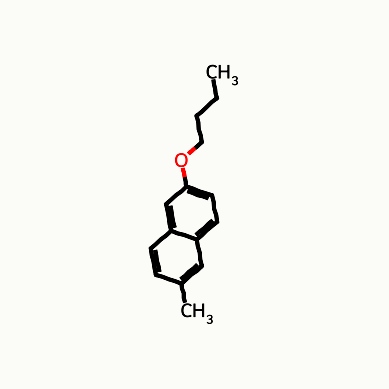 CCCCOc1ccc2cc(C)ccc2c1